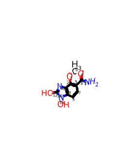 COc1c(C(N)=O)ccc2c1nc(O)n2O